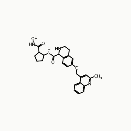 Cc1cc(COc2ccc3c(c2)CCNC3C(=O)NC2CCCC2C(=O)NO)c2ccccc2n1